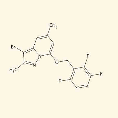 Cc1cc(OCc2c(F)ccc(F)c2F)n2nc(C)c(Br)c2c1